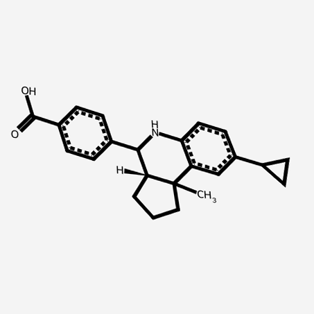 CC12CCC[C@@H]1C(c1ccc(C(=O)O)cc1)Nc1ccc(C3CC3)cc12